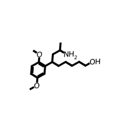 COc1ccc(OC)c(C(CCCCCO)CC(C)N)c1